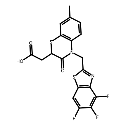 Cc1ccc2c(c1)SC(CC(=O)O)C(=O)N2Cc1nc2c(F)c(F)c(F)cc2s1